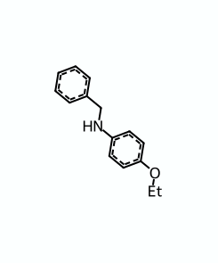 CCOc1ccc(NCc2ccccc2)cc1